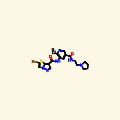 Cc1ncc(C(=O)NCCN2CCCC2)cc1NC(=O)c1cnn2cc(Br)sc12